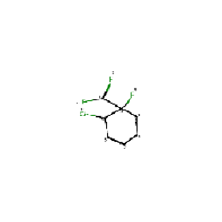 FC(F)C1(F)CCCCC1Cl